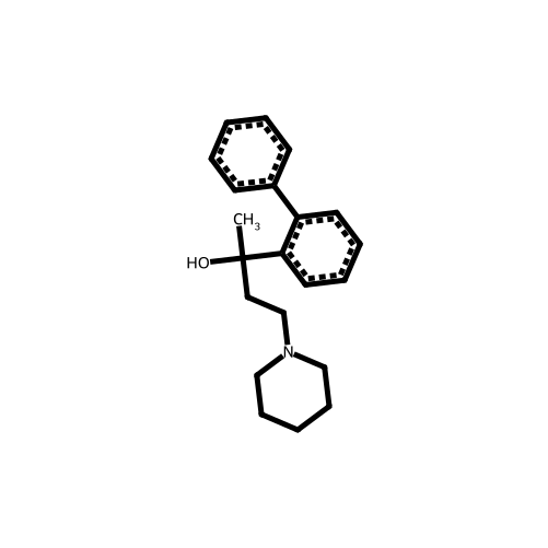 CC(O)(CCN1CCCCC1)c1ccccc1-c1ccccc1